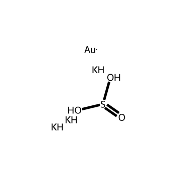 O=S(O)O.[Au].[KH].[KH].[KH]